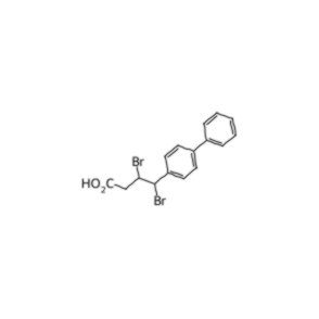 O=C(O)CC(Br)C(Br)c1ccc(-c2ccccc2)cc1